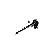 CCCCCCCCCCCCCCCCCCC(c1ccccc1)C(P)(c1ccccc1)c1ccccc1.Cl